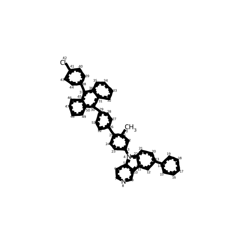 Cc1cc(-n2c3ccncc3c3cc(-c4ccccc4)ccc32)ccc1-c1ccc(-c2c3ccccc3c(-c3ccc(Cl)cc3)c3ccccc23)cc1